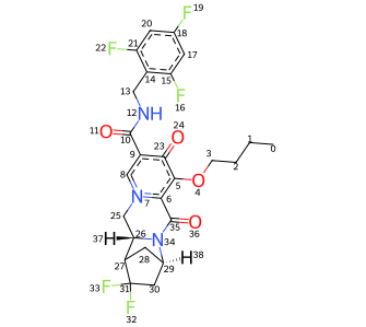 CCCCOc1c2n(cc(C(=O)NCc3c(F)cc(F)cc3F)c1=O)C[C@H]1C3C[C@H](CC3(F)F)N1C2=O